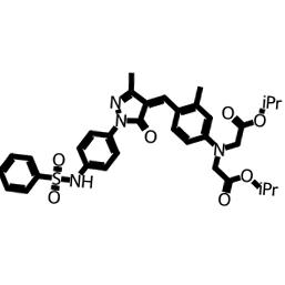 CC1=NN(c2ccc(NS(=O)(=O)c3ccccc3)cc2)C(=O)C1=Cc1ccc(N(CC(=O)OC(C)C)CC(=O)OC(C)C)cc1C